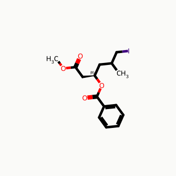 COC(=O)C[C@@H](CC(C)CI)OC(=O)c1ccccc1